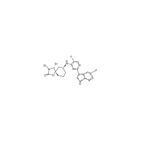 CC[C@H]1N(CC)C(=O)O[C@]12CCC[C@H](Nc1nc(-c3c[nH]c4ncc(F)cc34)ncc1F)C2